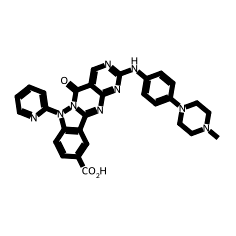 CN1CCN(c2ccc(Nc3ncc4c(=O)n5c(nc4n3)c3cc(C(=O)O)ccc3n5-c3ccccn3)cc2)CC1